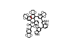 O=C1C(c2cc3c(cn2)OCCO3)Oc2nc[c]c(-c3cnc4c(c3-c3cc(-c5cc6c(-c7cnc8snnc8c7)ccnc6[nH]5)c5c(n3)OCCO5)OCCO4)c2N1c1ccc2c(c1)OCCO2